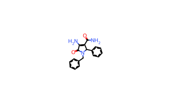 NC(=O)C1=C(N)C(=O)N(Cc2ccccc2)C1c1ccccc1